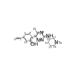 C#Cc1ccc(-c2nnc(NC3CCCN(C)C3)nc2C)c(O)c1